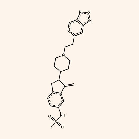 CS(=O)(=O)Nc1ccc2c(c1)C(=O)C(C1CCN(CCc3ccc4nonc4c3)CC1)C2